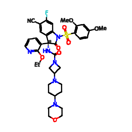 CCOc1ncccc1[C@]1(NC(=O)N2CC(N3CCC(N4CCOCC4)CC3)C2)C(=O)N(S(=O)(=O)c2ccc(OC)cc2OC)c2cc(F)c(C#N)cc21